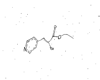 CCOC(=O)C(Br)=Cc1ccncc1